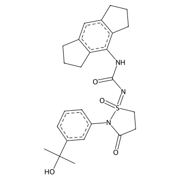 CC(C)(O)c1cccc(N2C(=O)CCS2(=O)=NC(=O)Nc2c3c(cc4c2CCC4)CCC3)c1